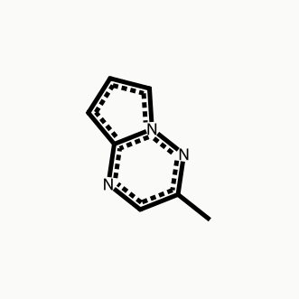 Cc1cnc2cccn2n1